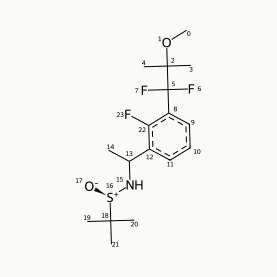 COC(C)(C)C(F)(F)c1cccc(C(C)N[S@+]([O-])C(C)(C)C)c1F